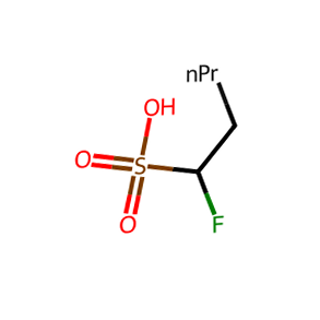 CCCCC(F)S(=O)(=O)O